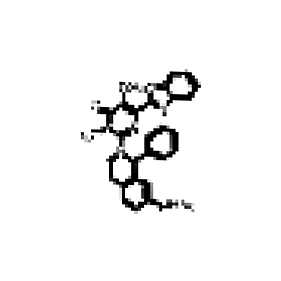 COc1c(-c2nc3ccccc3o2)nc(N2CCc3ccc(NC(C)=O)cc3C2c2ccccc2)n(C)c1=O